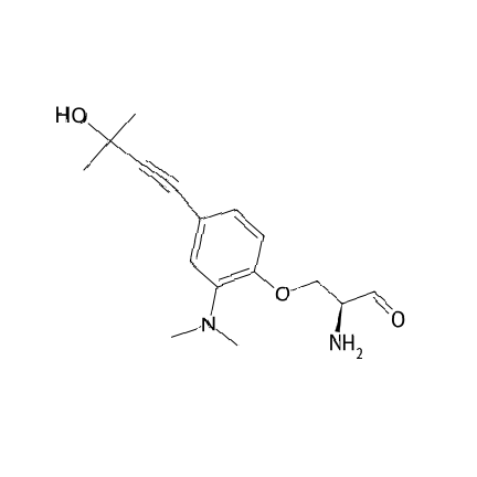 CN(C)c1cc(C#CC(C)(C)O)ccc1OC[C@H](N)C=O